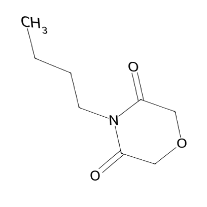 CCCCN1C(=O)COCC1=O